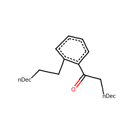 CCCCCCCCCCCCc1ccccc1C(=O)CCCCCCCCCCC